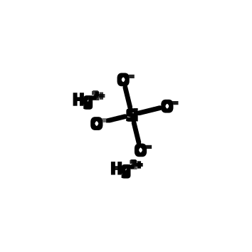 [Hg+2].[Hg+2].[O-][Si]([O-])([O-])[O-]